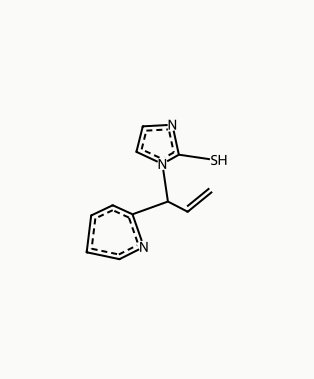 C=CC(c1ccccn1)n1ccnc1S